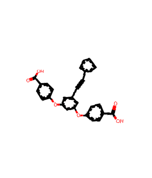 O=C(O)c1ccc(Oc2cc(C#Cc3ccccc3)cc(Oc3ccc(C(=O)O)cc3)c2)cc1